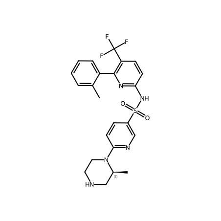 Cc1ccccc1-c1nc(NS(=O)(=O)c2ccc(N3CCNC[C@@H]3C)nc2)ccc1C(F)(F)F